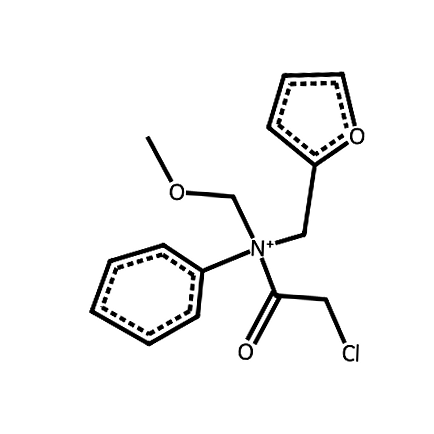 COC[N+](Cc1ccco1)(C(=O)CCl)c1ccccc1